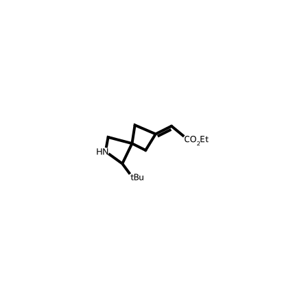 CCOC(=O)C=C1CC2(CNC2C(C)(C)C)C1